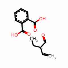 C=CC(C=O)CC.O=C(O)c1ccccc1C(=O)O